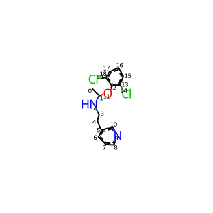 CC(NCCc1cccnc1)Oc1c(Cl)cccc1Cl